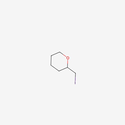 ICC1CCCCO1